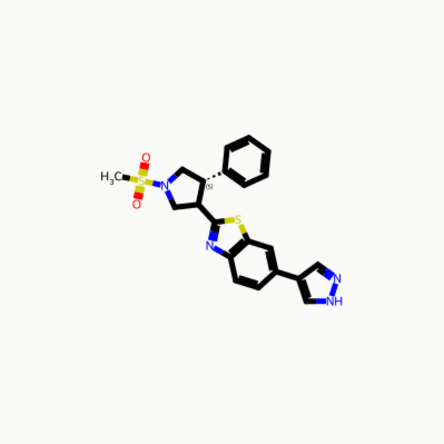 CS(=O)(=O)N1CC(c2nc3ccc(-c4cn[nH]c4)cc3s2)[C@@H](c2ccccc2)C1